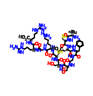 CC[C@H](C)[C@H](N)C(=O)N[C@@H](CS)C(=O)N[C@@H](CC(=O)O)C(=O)N[C@@H](Cc1ccccc1)C(=O)NCC(=O)N[C@@H](CO)C(=O)N[C@@H](CO)C(=O)N[C@@H](CS)C(=O)N[C@@H](CCCCN)C(=O)NCC(=O)N[C@@H](CCCNC(=N)N)C(=O)N[C@@H](CCCNC(=N)N)C(=O)O